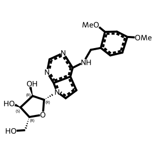 COc1ccc(CNc2ncnc3c2ccn3[C@@H]2O[C@H](CO)[C@@H](O)[C@H]2O)c(OC)c1